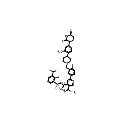 Cc1cc(C2CCC(=O)NC2=O)ccc1C1CCN(Cc2cc(-c3cc4c(N[C@H](C)c5cccc(C(F)F)c5F)nnc(C)c4cn3)ccc2F)CC1